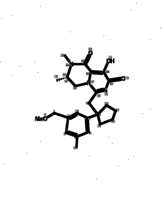 COCc1cc(C)cc(C2(Cc3nc(=O)c(O)c4n3C[C@H](C)N(C)C4=O)CCCC2)c1